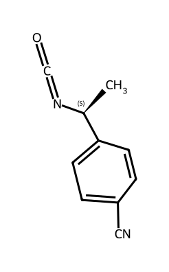 C[C@H](N=C=O)c1ccc(C#N)cc1